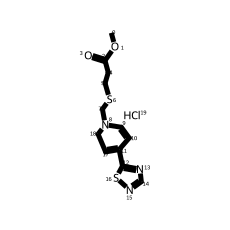 COC(=O)CCSCN1C=CC(c2ncns2)=CC1.Cl